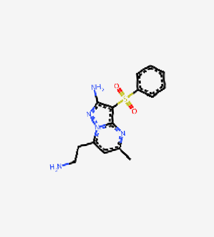 Cc1cc(CCN)n2nc(N)c(S(=O)(=O)c3ccccc3)c2n1